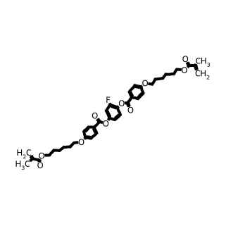 C=C(C)C(=O)OCCCCCCOc1ccc(C(=O)Oc2ccc(OC(=O)c3ccc(OCCCCCCOC(=O)C(=C)C)cc3)c(F)c2)cc1